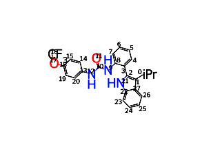 CC(C)c1c(-c2ccccc2NC(=O)Nc2ccc(OC(F)(F)F)cc2)[nH]c2ccccc12